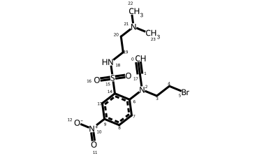 C#CN(CCBr)c1ccc([N+](=O)[O-])cc1S(=O)(=O)NCCN(C)C